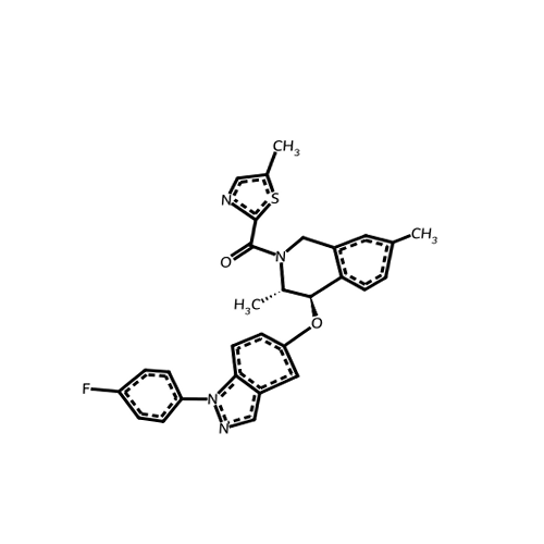 Cc1ccc2c(c1)CN(C(=O)c1ncc(C)s1)[C@@H](C)[C@@H]2Oc1ccc2c(cnn2-c2ccc(F)cc2)c1